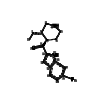 C/C=C1/CNCC[C@H]1C(=O)c1cc2ccc(F)cc2[nH]1